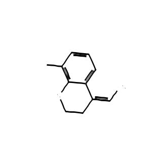 N#C/C=C1/CCNc2c(Br)cccc21